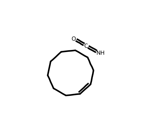 C1=CCCCCCCCC1.N=C=O